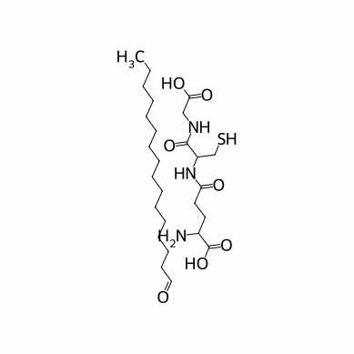 CCCCCCCCCCCCCCCC=O.NC(CCC(=O)NC(CS)C(=O)NCC(=O)O)C(=O)O